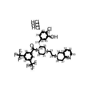 Cl.Cl.Cl.O=C(c1cc(C(F)(F)F)cc(C(F)(F)F)c1)N1CCN(CCN2CCc3ncccc3C2)C[C@H]1Cc1ccc(Cl)c(O)c1